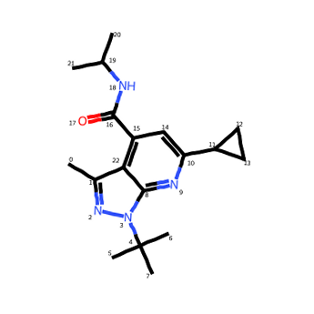 Cc1nn(C(C)(C)C)c2nc(C3CC3)cc(C(=O)NC(C)C)c12